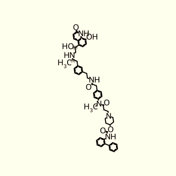 C[C@@H](Cc1cccc(CCNC(=O)Cc2ccc(N(C)C(=O)CCN3CCC(OC(=O)Nc4ccccc4-c4ccccc4)CC3)cc2)c1)NC[C@H](O)c1ccc(O)c2[nH]c(=O)ccc12